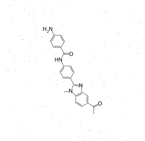 CC(=O)c1ccc2c(c1)nc(-c1ccc(NC(=O)c3ccc(N)cc3)cc1)n2C